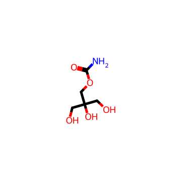 NC(=O)OCC(O)(CO)CO